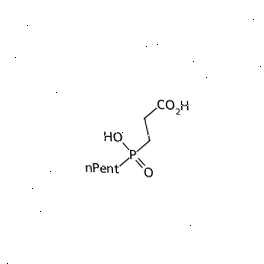 CCCCCP(=O)(O)CCC(=O)O